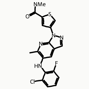 CNC(=O)c1cc(-n2ncc3cc(Nc4c(F)cccc4Cl)c(C)nc32)cs1